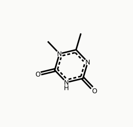 Cc1nc(=O)[nH]c(=O)n1C